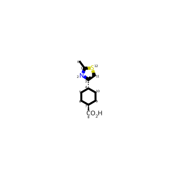 Cc1nc([C@H]2CC[C@H](C(=O)O)CC2)cs1